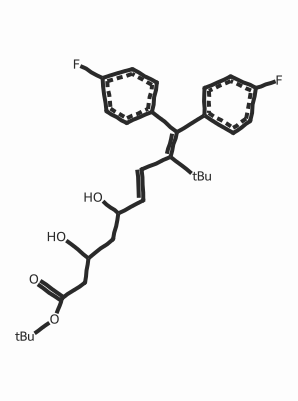 CC(C)(C)OC(=O)CC(O)CC(O)/C=C/C(=C(c1ccc(F)cc1)c1ccc(F)cc1)C(C)(C)C